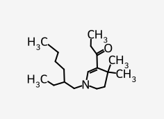 CCCCC(CC)CN1C=C(C(=O)CC)C(C)(C)CC1